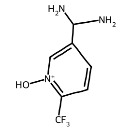 NC(N)c1ccc(C(F)(F)F)[n+](O)c1